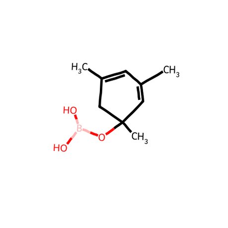 CC1=CC(C)(OB(O)O)CC(C)=C1